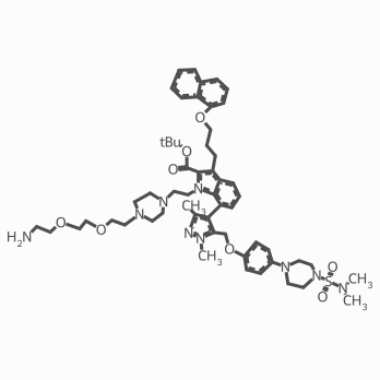 Cc1nn(C)c(COc2ccc(N3CCN(S(=O)(=O)N(C)C)CC3)cc2)c1-c1cccc2c(CCCOc3cccc4ccccc34)c(C(=O)OC(C)(C)C)n(CCN3CCN(CCOCCOCCN)CC3)c12